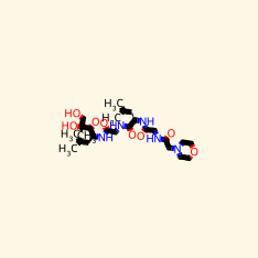 CC(C)C[C@H](NC(=O)CNC(=O)CN1CCOCC1)C(=O)NCC(=O)N[C@@H](CC(C)C)C(=O)[C@](C)(O)CO